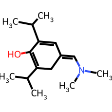 CC(C)C1=CC(=CN(C)C)CC(C(C)C)=C1O